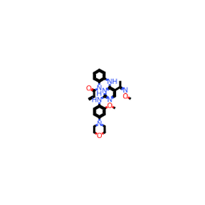 C=CC(=O)Nc1ccccc1Nc1nc(Nc2ccc(N3CCOCC3)cc2OC)ncc1/C(C)=N\OC